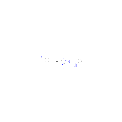 N[C@@H]1c2ccccc2CC12CCN(c1ncc(C#CCOc3ccc4c(c3)C(=O)N=C4)nc1CO)CC2